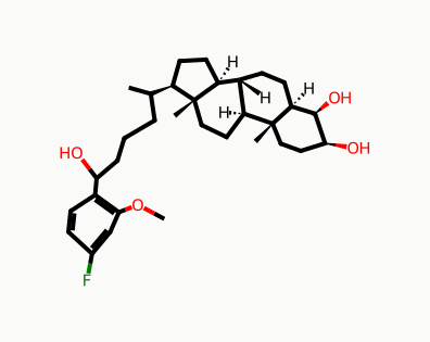 COc1cc(F)ccc1C(O)CCCC(C)[C@H]1CC[C@H]2[C@@H]3CC[C@H]4[C@@H](O)[C@@H](O)CC[C@]4(C)[C@H]3CC[C@]12C